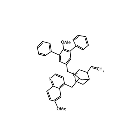 C=CC1C[N+]2(Cc3cc(-c4ccccc4)c(OC)c(-c4ccccc4)c3)CCC1CC2Cc1ccnc2ccc(OC)cc12